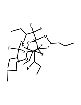 CCCC[O][Sn]([O][Sn]([O]CCCC)([C](F)(F)C(F)CC)[C](F)(F)C(F)CC)([C](F)(F)C(F)CC)[C](F)(F)C(F)CC